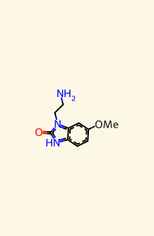 COc1ccc2[nH]c(=O)n(CCN)c2c1